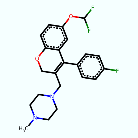 CN1CCN(CC2=C(c3ccc(F)cc3)c3cc(OC(F)F)ccc3OC2)CC1